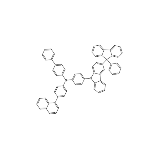 c1ccc(-c2ccc(N(c3ccc(-c4cccc5ccccc45)cc3)c3ccc(-n4c5ccccc5c5cc(C6(c7ccccc7)c7ccccc7-c7ccccc76)ccc54)cc3)cc2)cc1